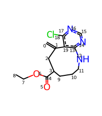 C=C1CC(C(=O)OCC)CCCNc2ncnc(Cl)c21